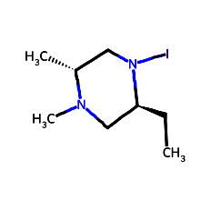 CC[C@H]1CN(C)[C@H](C)CN1I